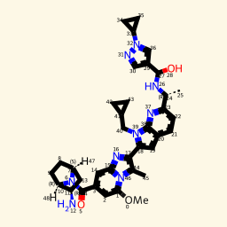 COc1cc(C(=O)N2[C@H]3CC[C@@H]2[C@H](N)C3)cc2nc(-c3cc4ccc([C@@H](C)NC(O)c5cnn(C6CC6)c5)nc4n3CC3CC3)c(C)n12